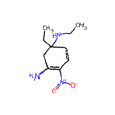 CCNC1(CC)C=CC([N+](=O)[O-])=C(N)C1